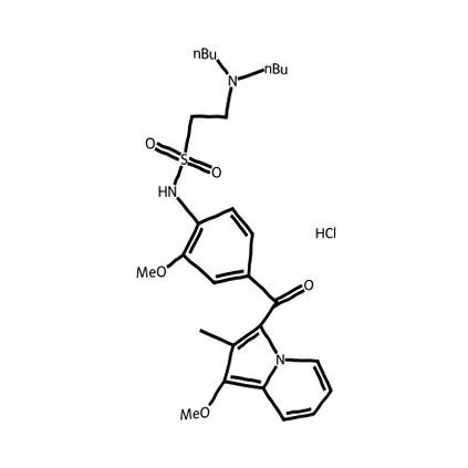 CCCCN(CCCC)CCS(=O)(=O)Nc1ccc(C(=O)c2c(C)c(OC)c3ccccn23)cc1OC.Cl